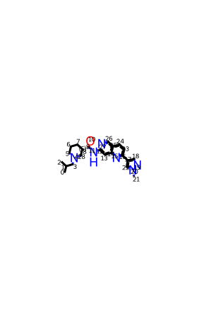 CC(C)CN1CCC[C@H](C(=O)Nc2cc3nc(-c4cnn(C)c4)ccc3cn2)C1